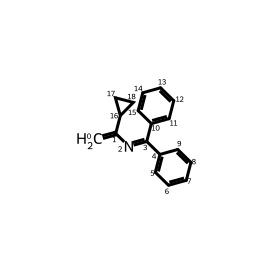 C=C(N=C(c1ccccc1)c1ccccc1)C1CC1